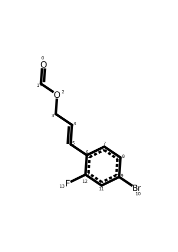 O=[C]OC/C=C/c1ccc(Br)cc1F